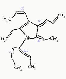 C=C/C=c1/c(/C=C\C)c(C=C)n(C(/C=C\C)=C/C)/c1=C/C